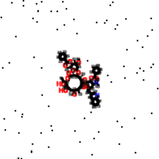 CC[C@H]1OC(=O)[C@H](C)[C@@H](O[C@H]2C[C@@](C)(OC)[C@@H](OC(=O)c3ccccc3)[C@H](C)O2)[C@H](C)[C@@H](O[C@@H]2O[C@H](C)C[C@H](N(C)C)[C@H]2OC(=O)c2ccccc2)[C@](C)(OC/C=C/c2cnc3ccccc3c2)C[C@@H](C)C(=O)[C@H](C)[C@@H](O)[C@]1(C)O